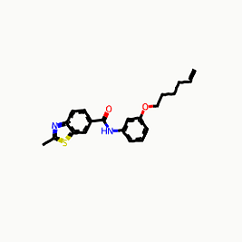 C=CCCCCOc1cccc(NC(=O)c2ccc3nc(C)sc3c2)c1